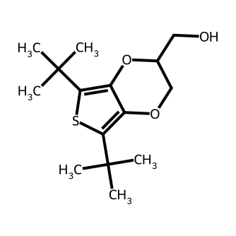 CC(C)(C)c1sc(C(C)(C)C)c2c1OCC(CO)O2